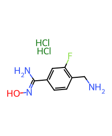 Cl.Cl.NCc1ccc(/C(N)=N/O)cc1F